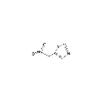 O=[SH](=O)Cc1cncs1